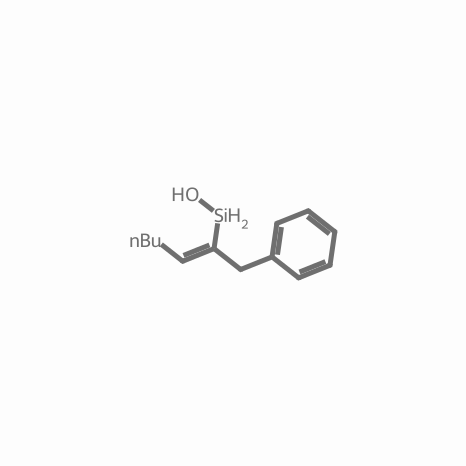 CCCCC=C(Cc1ccccc1)[SiH2]O